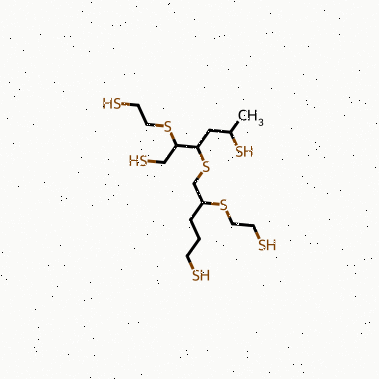 CC(S)CC(SCC(CCCS)SCCS)C(CS)SCCS